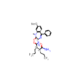 COc1ccc2c(c1)N(C)C(=O)[C@@H](NC(=O)[C@H](CCC(F)(F)F)[C@H](CCC(F)(F)F)C(N)=O)N=C2c1ccccc1